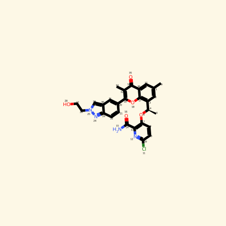 Cc1cc([C@@H](C)Oc2ccc(Cl)nc2C(N)=O)c2oc(-c3ccc4nn(CCO)cc4c3)c(C)c(=O)c2c1